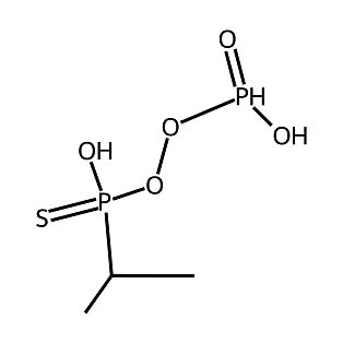 CC(C)P(O)(=S)OO[PH](=O)O